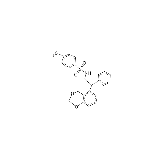 Cc1ccc(S(=O)(=O)NCC(c2ccccc2)c2cccc3c2COCO3)cc1